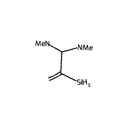 C=C([SiH3])C(NC)NC